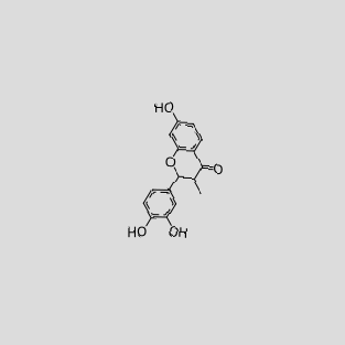 CC1C(=O)c2ccc(O)cc2OC1c1ccc(O)c(O)c1